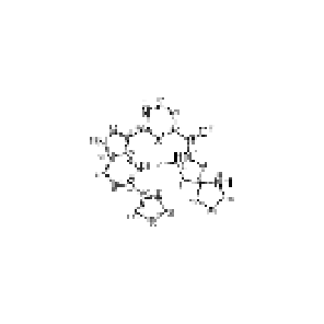 CCCC1(CNC(=O)c2ccnc(-c3cnn4ccc(-c5cccs5)nc34)c2)CCCN1